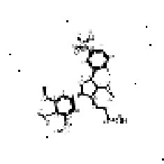 COc1cc(C2OC(c3cccc(S(C)(=O)=O)c3)C(OC)C2OCCO)cc(OC)c1OC